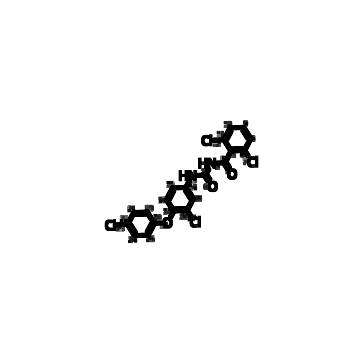 O=C(NC(=O)c1c(Cl)cccc1Cl)Nc1ccc(Oc2ccc(Cl)cc2)c(Cl)c1